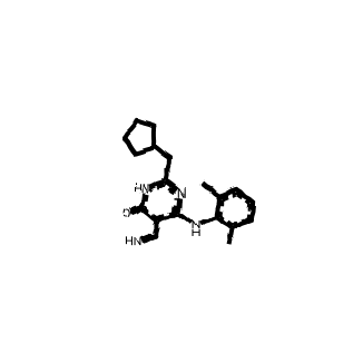 Cc1cccc(C)c1Nc1nc(CC2CCCC2)[nH]c(=O)c1C=N